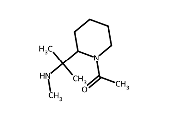 CNC(C)(C)C1CCCCN1C(C)=O